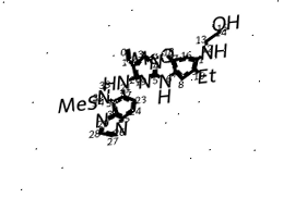 C=Cc1cnc(Nc2cc(CC)c(NCCO)cc2OC)nc1Nc1ccc2nccnc2c1N(C)SC